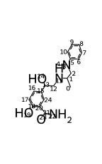 CC(CN(C)c1ccccc1)NCC(O)c1ccc(O)c(C(N)=O)c1